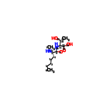 CCCCC[C@H](NC)C(=O)N[C@H](C(=O)O)[C@@H](C)O